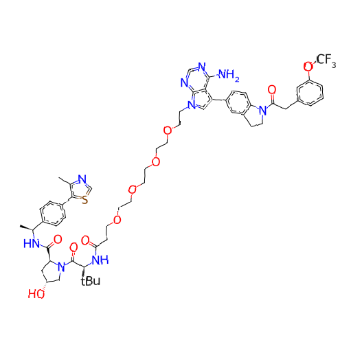 Cc1ncsc1-c1ccc([C@H](C)NC(=O)[C@@H]2C[C@@H](O)CN2C(=O)[C@@H](NC(=O)CCOCCOCCOCCOCCn2cc(-c3ccc4c(c3)CCN4C(=O)Cc3cccc(OC(F)(F)F)c3)c3c(N)ncnc32)C(C)(C)C)cc1